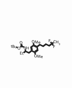 CCC(Cc1cc(OC)c(CCCCC(C)(F)F)cc1OC)NC(=O)OC(C)(C)C